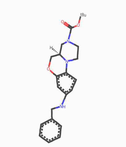 CC(C)(C)OC(=O)N1CCN2c3ccc(NCc4ccccc4)cc3OC[C@H]2C1